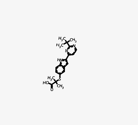 CC(C)(Sc1ccc2[nH]c(-c3ccnc(C(C)(C)C)n3)cc2c1)C(=O)O